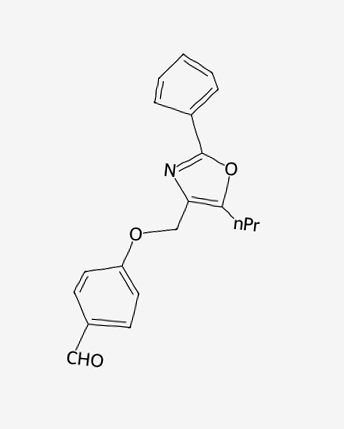 CCCc1oc(-c2ccccc2)nc1COc1ccc(C=O)cc1